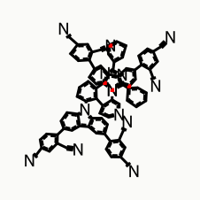 N#Cc1ccc(-c2ccc3c(c2)c2cc(-c4ccc(C#N)cc4C#N)ccc2n3-c2cnccc2-c2c(-c3nc(-c4ccccc4)nc(-c4ccccc4)n3)cccc2-n2c3ccc(-c4ccc(C#N)cc4C#N)cc3c3cc(-c4ccc(C#N)cc4C#N)ccc32)c(C#N)c1